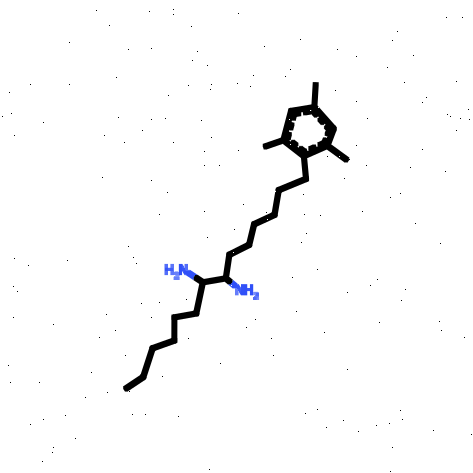 CCCCCCC(N)C(N)CCCCCCc1c(C)cc(C)cc1C